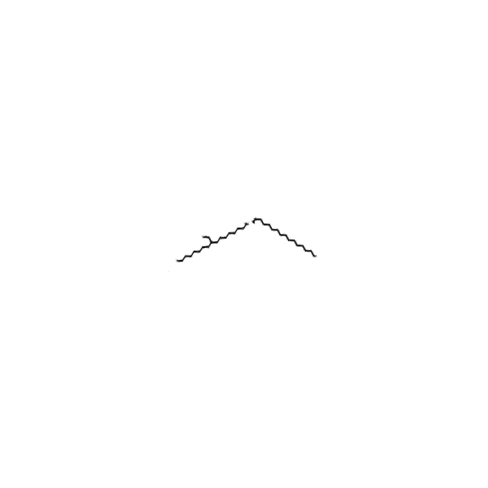 CCCCCCCCCCCCCCCC(=O)OC(=O)CCCCCCCC(CCO)CCCCCCCCC